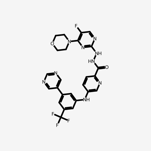 O=C(NNc1ncc(F)c(N2CCOCC2)n1)c1ccc(Nc2cc(-c3cncnc3)cc(C(F)(F)F)c2)cn1